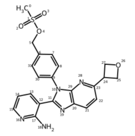 CS(=O)(=O)OCc1ccc(-n2c(-c3cccnc3N)nc3ccc(C4COC4)nc32)cc1